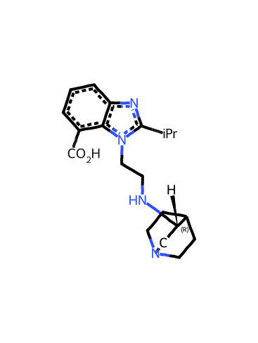 CC(C)c1nc2cccc(C(=O)O)c2n1CCN[C@H]1CN2CCC1CC2